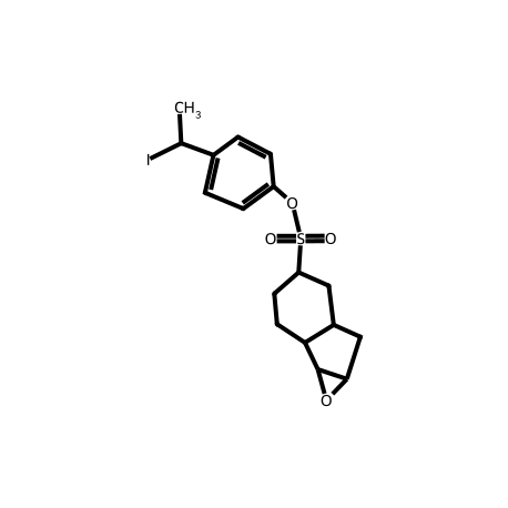 CC(I)c1ccc(OS(=O)(=O)C2CCC3C(CC4OC43)C2)cc1